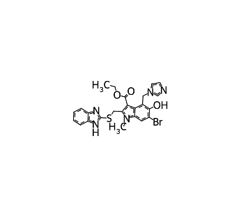 CCOC(=O)c1c(CSc2nc3ccccc3[nH]2)n(C)c2cc(Br)c(O)c(Cn3ccnc3)c12